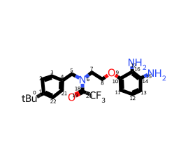 CC(C)(C)c1ccc(CN(CCOc2cccc(N)c2N)C(=O)C(F)(F)F)cc1